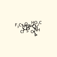 O=C(O)c1cnc(NC(=O)C2CC2)cc1Nc1csc2c(Cl)cn(CC(F)(F)F)c(=O)c12